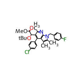 COC(=O)C(OC(C)(C)C)c1c(C)nc2c(c(C)c(C)n2Cc2ccc(F)cc2)c1-c1ccc(Cl)cc1